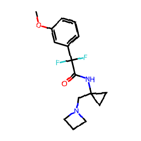 COc1cccc(C(F)(F)C(=O)NC2(CN3CCC3)CC2)c1